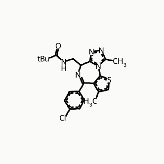 Cc1csc2c1C(c1ccc(Cl)cc1)=NC(CNC(=O)C(C)(C)C)c1nnc(C)n1-2